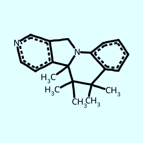 CC1(C)c2ccccc2N2Cc3cnccc3C2(C)C1(C)C